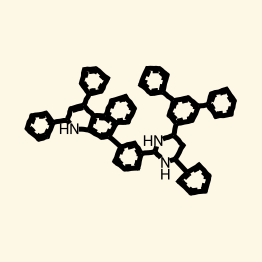 C1=C(c2ccccc2)c2c(cc(-c3cccc(C4NC(c5ccccc5)CC(c5cc(-c6ccccc6)cc(-c6ccccc6)c5)N4)c3)c3ccccc23)NC1c1ccccc1